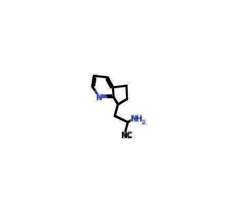 [C-]#[N+]C(N)CC1CCc2cccnc21